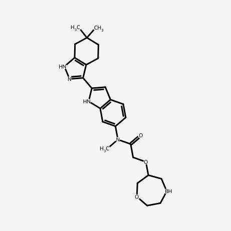 CN(C(=O)COC1CBCCOC1)c1ccc2cc(-c3n[nH]c4c3CCC(C)(C)C4)[nH]c2c1